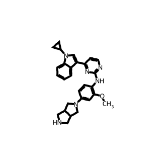 COc1cc(N2CC3CNCC3C2)ccc1Nc1nccc(-c2cn(C3CC3)c3ccccc23)n1